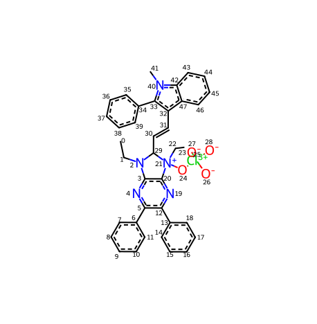 CCN1c2nc(-c3ccccc3)c(-c3ccccc3)nc2[N+](CC)(O[Cl+3]([O-])([O-])[O-])C1C=Cc1c(-c2ccccc2)n(C)c2ccccc12